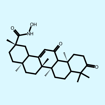 CC1(C)C(=O)CC[C@@]2(C)C1CC[C@]1(C)C2C(=O)C=C2C3C[C@@](C)(C(=O)NO)CC[C@]3(C)CC[C@]21C